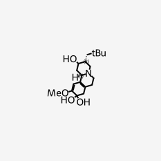 COC1=CC2=C(CCN3C[C@@H](CC(C)(C)C)C(O)C[C@H]23)CC1(O)O